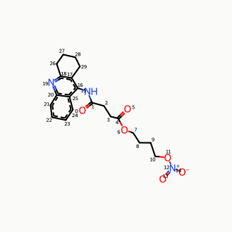 O=C(CCC(=O)OCCCCO[N+](=O)[O-])Nc1c2c(nc3ccccc13)CCCC2